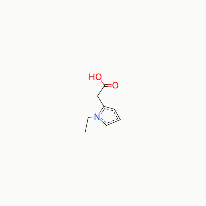 CCn1cccc1CC(=O)O